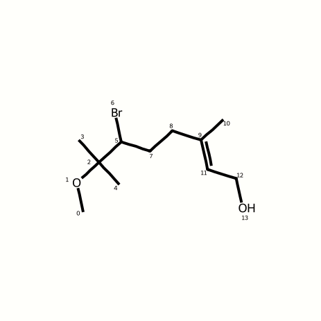 COC(C)(C)C(Br)CCC(C)=CCO